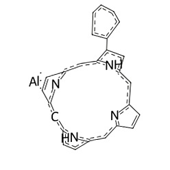 C1=Cc2cc3cc(-c4ccccc4)c(cc4nc(cc5ccc(cc1n2)[nH]5)C=C4)[nH]3.[Al]